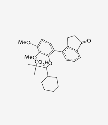 COc1ccc(-c2cccc3c2CCC3=O)c(OC(C2CCCCC2)C(C)(C)C(=O)O)c1OC